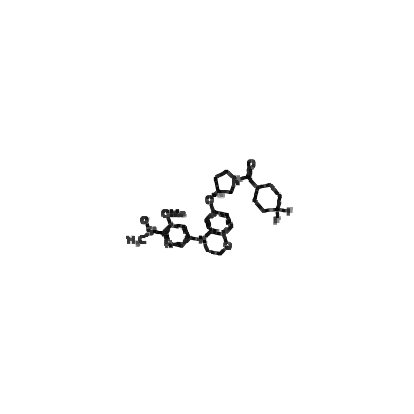 COc1cc(N2CCOc3ccc(O[C@H]4CCN(C(=O)C5CCC(F)(F)CC5)C4)cc32)cnc1[S+](C)[O-]